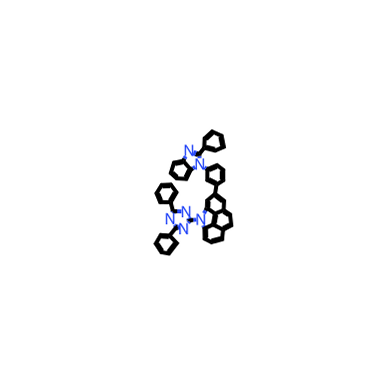 c1ccc(-c2nc(-c3ccccc3)nc(-n3c4cccc5ccc6cc(-c7cccc(-n8c(-c9ccccc9)nc9ccccc98)c7)cc3c6c54)n2)cc1